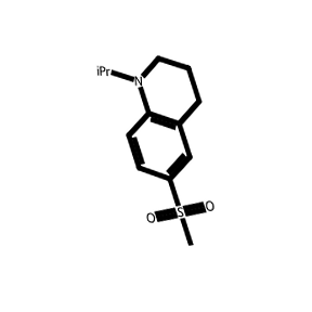 CC(C)N1CCCc2cc(S(C)(=O)=O)ccc21